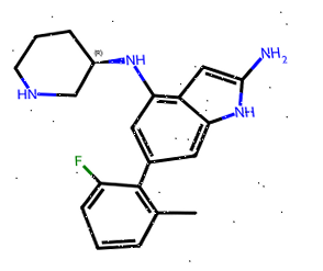 Cc1cccc(F)c1-c1cc(N[C@@H]2CCCNC2)c2cc(N)[nH]c2c1